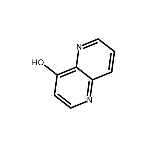 Oc1[c]cnc2cccnc12